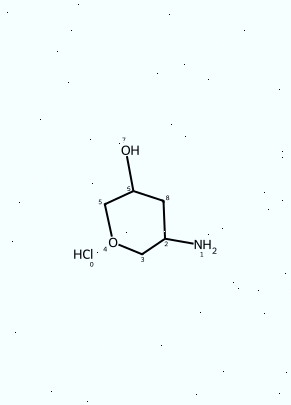 Cl.NC1COCC(O)C1